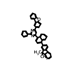 CC1(C)c2ccccc2-c2ccc(-c3ccc(-c4cc(-c5ccc6oc7ccccc7c6c5)nc(-c5ccccc5)n4)c4ccccc34)cc21